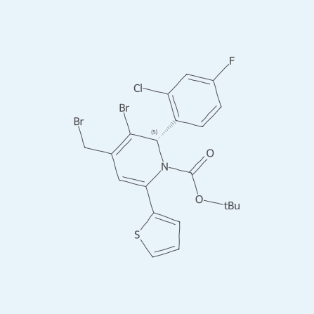 CC(C)(C)OC(=O)N1C(c2cccs2)=CC(CBr)=C(Br)[C@@H]1c1ccc(F)cc1Cl